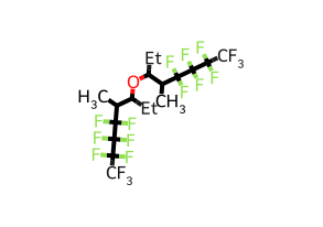 CCC(OC(CC)C(C)C(F)(F)C(F)(F)C(F)(F)C(F)(F)F)C(C)C(F)(F)C(F)(F)C(F)(F)C(F)(F)F